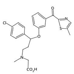 Cc1cnc(C(=O)c2cccc(OC(CCN(C)CC(=O)O)c3ccc(Cl)cc3)c2)s1